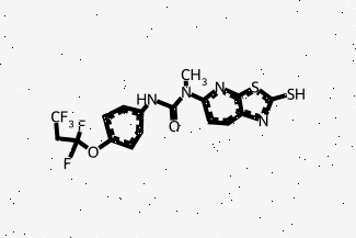 CN(C(=O)Nc1ccc(OC(F)(F)CC(F)(F)F)cc1)c1ccc2nc(S)sc2n1